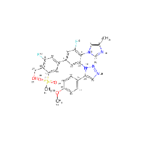 Cc1cn(-c2c(F)cc(-c3cc(F)c(CO)c(S(C)(=O)=O)c3)cc2-n2nncc2-c2ccc(OC(F)(F)F)cc2)cn1